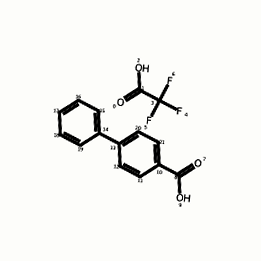 O=C(O)C(F)(F)F.O=C(O)c1ccc(-c2ccccc2)cc1